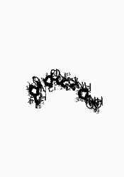 Cn1c(=O)c(-c2c(Cl)ccc(NC(=O)c3cccc(C(F)(F)F)c3)c2Cl)cc2cnc(Nc3cccc(NS(C)(=O)=O)c3)nc21